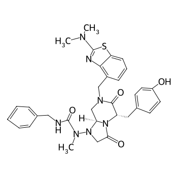 CN(C)c1nc2c(CN3C[C@H]4N(C(=O)CN4N(C)C(=O)NCc4ccccc4)[C@@H](Cc4ccc(O)cc4)C3=O)cccc2s1